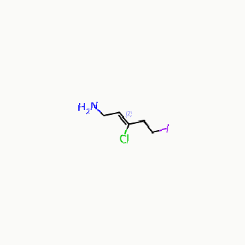 NC/C=C(\Cl)CCI